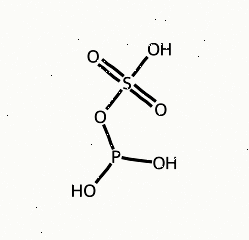 O=S(=O)(O)OP(O)O